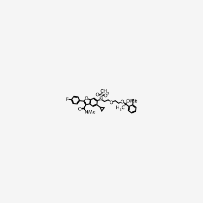 CCc1ccccc1C(C)(OC)OCCOCCN(c1cc2oc(-c3ccc(F)cc3)c(C(=O)NC)c2cc1C1CC1)S(C)(=O)=O